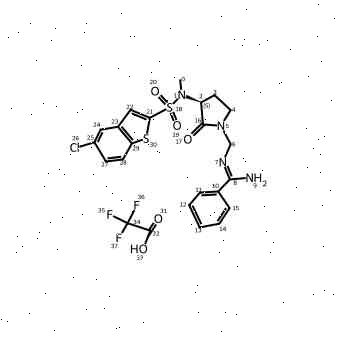 CN([C@H]1CCN(CN=C(N)c2ccccc2)C1=O)S(=O)(=O)c1cc2cc(Cl)ccc2s1.O=C(O)C(F)(F)F